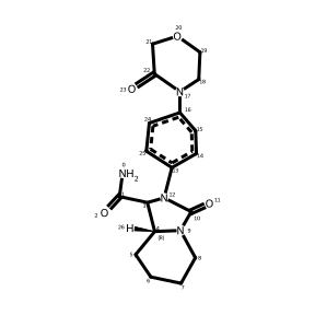 NC(=O)C1[C@H]2[CH]CCCN2C(=O)N1c1ccc(N2CCOCC2=O)cc1